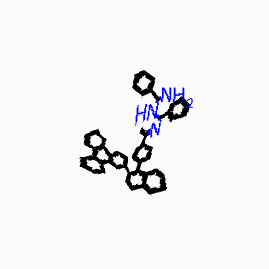 C/C(=N\C(NC(N)c1ccccc1)c1ccccc1)c1ccc(-c2c(-c3ccc4c5c(c6ccccc6c4c3)C=CCC5)ccc3ccccc23)cc1